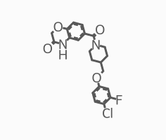 O=C1COc2ccc(C(=O)N3CCC(COc4ccc(Cl)c(F)c4)CC3)cc2N1